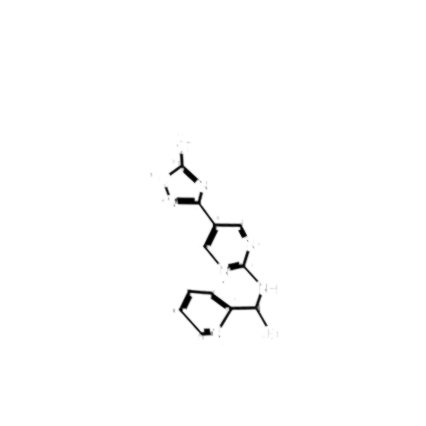 CCC(Nc1ncc(-c2noc(C(F)(F)F)n2)cn1)c1ccccn1